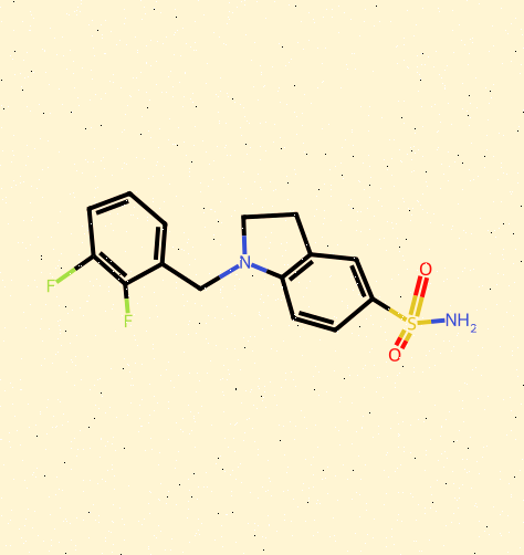 NS(=O)(=O)c1ccc2c(c1)CCN2Cc1cccc(F)c1F